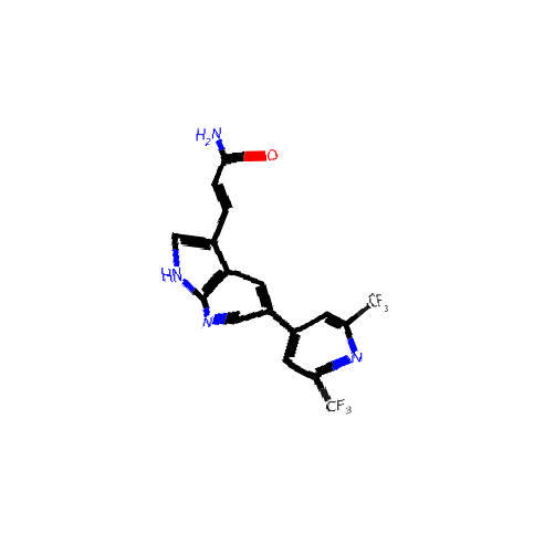 NC(=O)/C=C/c1c[nH]c2ncc(-c3cc(C(F)(F)F)nc(C(F)(F)F)c3)cc12